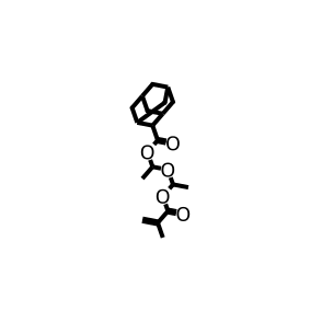 C=C(C)C(=O)OC(C)OC(C)OC(=O)C1C2CC3CC(C2)CC1C3